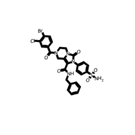 NS(=O)(=O)c1ccc(-n2c(C(=O)NCc3ccccc3)c3n(c2=O)CCN(C(=O)c2ccc(Br)c(Cl)c2)C3)cc1